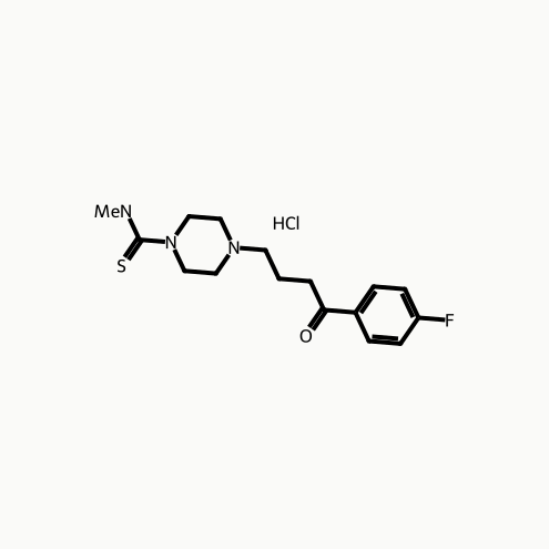 CNC(=S)N1CCN(CCCC(=O)c2ccc(F)cc2)CC1.Cl